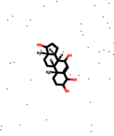 C[C@]12CCC(O)C(O)C1=CC(O)[C@@H]1[C@H]2CC[C@]2(C)C(O)CC[C@@H]12